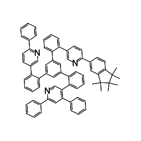 CC1(C)c2ccc(-c3ccc(-c4ccccc4-c4cc(-c5ccccc5-c5ccc(-c6ccccc6)nc5)cc(-c5ccccc5-c5cnc(-c6ccccc6)cc5-c5ccccc5)c4)cn3)cc2C(C)(C)C1(C)C